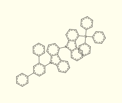 c1ccc(-c2ccc(-n3c4ccccc4c4c(-n5c6ccccc6c6c([Si](c7ccccc7)(c7ccccc7)c7ccccc7)cccc65)cccc43)c(-c3ccccc3)c2)cc1